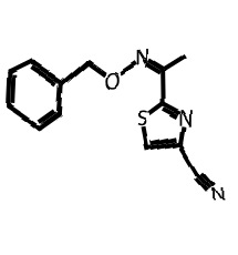 CC(=NOCc1ccccc1)c1nc(C#N)cs1